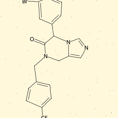 O=C1C(c2cccc(Br)c2)n2cncc2CN1Cc1ccc(C(F)(F)F)cc1